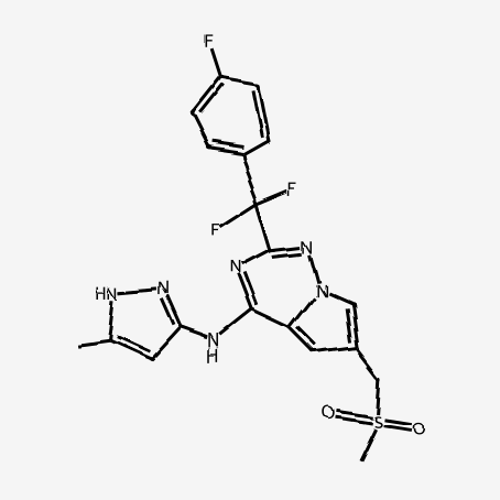 Cc1cc(Nc2nc(C(F)(F)c3ccc(F)cc3)nn3cc(CS(C)(=O)=O)cc23)n[nH]1